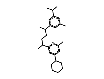 Cc1cc(C(C)CCC(C)c2cc(C3CCCCC3)cc(C)n2)cc(C(C)C)n1